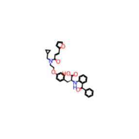 O=C(c1ccccc1)c1ccccc1N[C@@H](Cc1ccc(OCCN(CC2CC2)C(=O)C=Cc2ccco2)cc1)C(=O)O